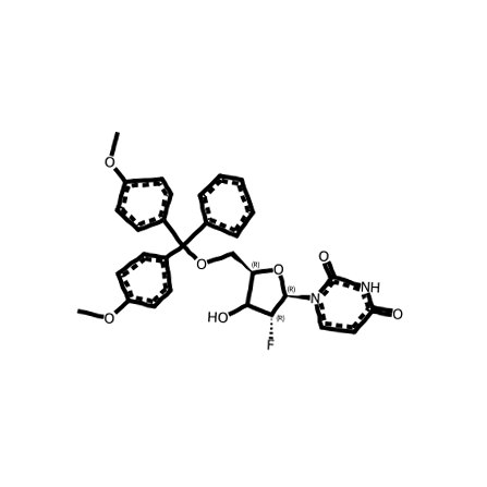 COc1ccc(C(OC[C@H]2O[C@@H](n3ccc(=O)[nH]c3=O)[C@H](F)C2O)(c2ccccc2)c2ccc(OC)cc2)cc1